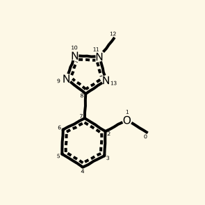 COc1ccccc1-c1nnn(C)n1